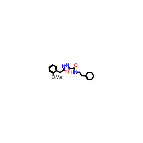 COc1ccccc1Cc1nnc(C(=O)NCCC2=CCCCC2)o1